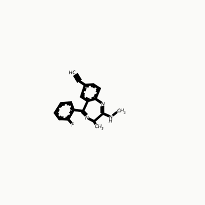 C#Cc1ccc2c(c1)C(c1ccccc1F)=NC(C)C(NC)=N2